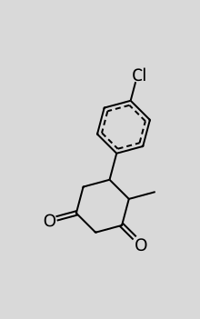 CC1C(=O)CC(=O)CC1c1ccc(Cl)cc1